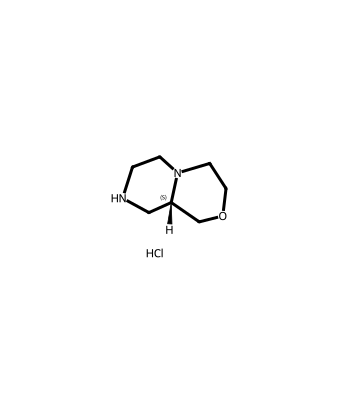 C1CN2CCOC[C@@H]2CN1.Cl